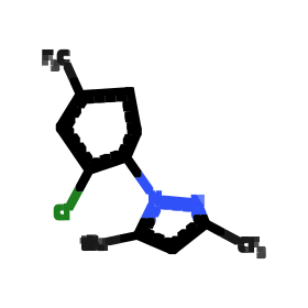 CC(C)(C)c1cc(C(F)(F)F)nn1-c1ccc(C(F)(F)F)cc1Cl